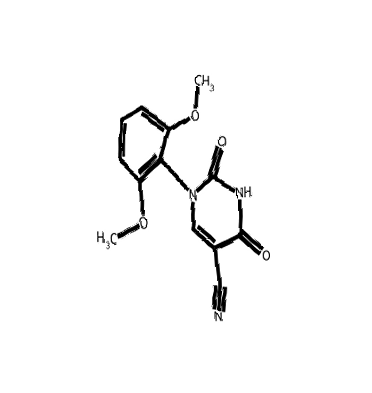 COc1cccc(OC)c1-n1cc(C#N)c(=O)[nH]c1=O